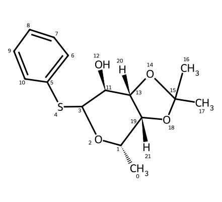 C[C@@H]1OC(Sc2ccccc2)[C@@H](O)[C@@H]2OC(C)(C)O[C@@H]21